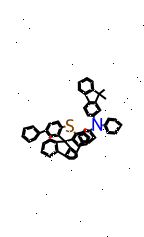 CC1(C)c2ccccc2-c2ccc(N(c3ccccc3)c3ccc(-c4cccc5c4C4(c6ccccc6Sc6ccc(-c7ccccc7)cc64)c4ccccc4-5)cc3)cc21